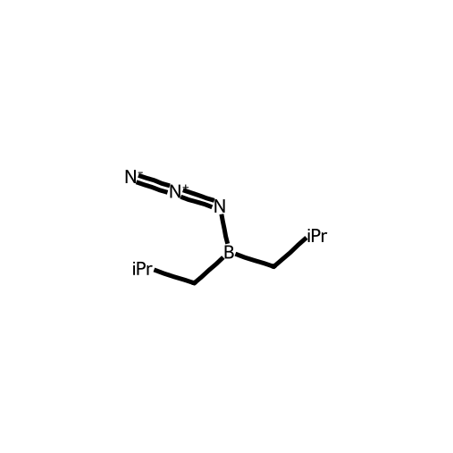 CC(C)CB(CC(C)C)N=[N+]=[N-]